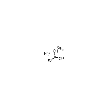 Cl.OB(O)O.[SrH2]